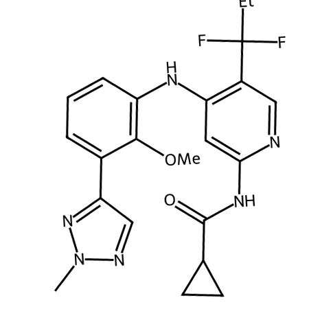 CCC(F)(F)c1cnc(NC(=O)C2CC2)cc1Nc1cccc(-c2cnn(C)n2)c1OC